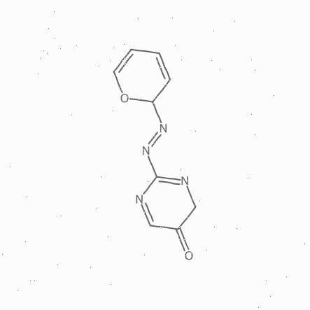 O=C1C=NC(N=NC2C=CC=CO2)=NC1